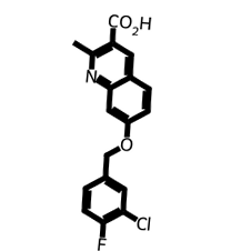 Cc1nc2cc(OCc3ccc(F)c(Cl)c3)ccc2cc1C(=O)O